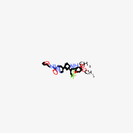 COc1ccc(-c2[nH]c3ccc(C4CCN(C(=O)NCc5ccco5)CC4)cc3c2CC(F)(F)F)cc1OC